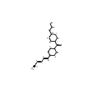 C=C(C1CCC(C=CC=CC#N)CC1)C1CCC(CCC)CC1